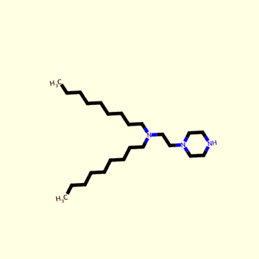 CCCCCCCCCN(CCCCCCCCC)CCN1CCNCC1